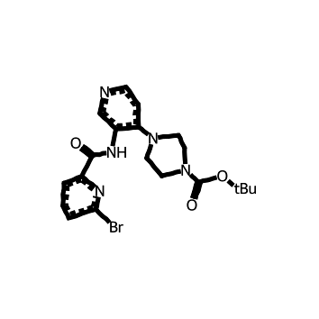 CC(C)(C)OC(=O)N1CCN(c2ccncc2NC(=O)c2cccc(Br)n2)CC1